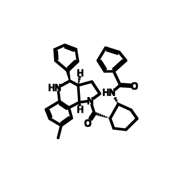 Cc1ccc2c(c1)[C@H]1[C@H](CCN1C(=O)[C@H]1CCCC[C@H]1NC(=O)c1ccccc1)[C@H](c1ccccc1)N2